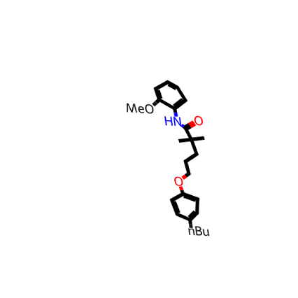 CCCCc1ccc(OCCCC(C)(C)C(=O)Nc2ccccc2OC)cc1